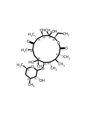 CC[C@H]1OC(=O)[C@H](C)C(C)[C@H](C)[C@@H](OC2O[C@H](C)C[C@H](C)[C@H]2O)[C@](C)(O)C[C@@H](C)C(=O)[C@H](C)[C@@H](O)[C@]1(C)O